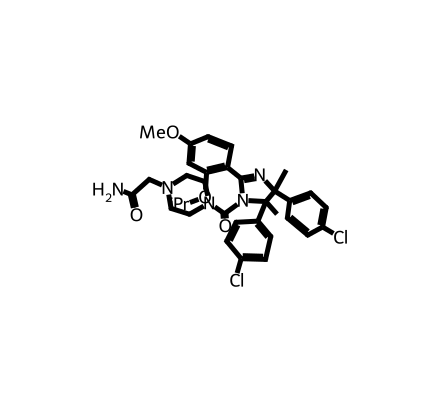 COc1ccc(C2=NC(C)(c3ccc(Cl)cc3)C(C)(c3ccc(Cl)cc3)N2C(=O)N2CCN(CC(N)=O)CC2)c(OC(C)C)c1